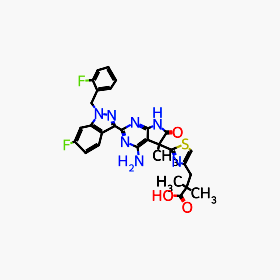 CC(C)(Cc1csc(C2(C)C(=O)Nc3nc(-c4nn(Cc5ccccc5F)c5cc(F)ccc45)nc(N)c32)n1)C(=O)O